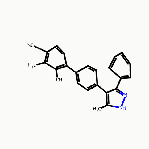 Cc1[nH]nc(-c2ccccc2)c1-c1ccc(-c2ccc(C#N)c(C)c2C)cc1